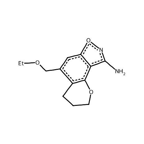 CCOCc1cc2onc(N)c2c2c1CCCO2